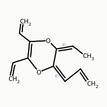 C=C/C=C1/OC(C=C)=C(C=C)O/C1=C/C